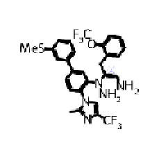 CSc1cccc(-c2ccc(-n3cc(C(F)(F)F)nc3C)c(N(N)/C(=C\N)Cc3ccccc3OC(F)(F)F)c2)c1